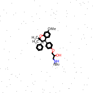 CCCCNCC(O)COc1ccc([C@@H]2c3ccc(OC)cc3OC(C)(C)[C@H]2c2ccccc2)cc1